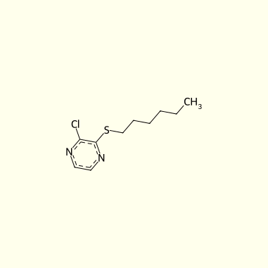 CCCCCCSc1nccnc1Cl